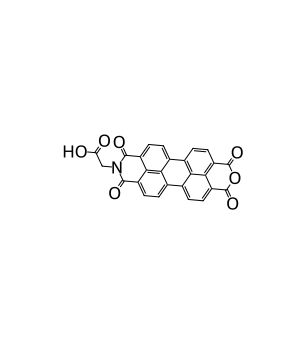 O=C(O)CN1C(=O)c2ccc3c4ccc5c6c(ccc(c7ccc(c2c37)C1=O)c64)C(=O)OC5=O